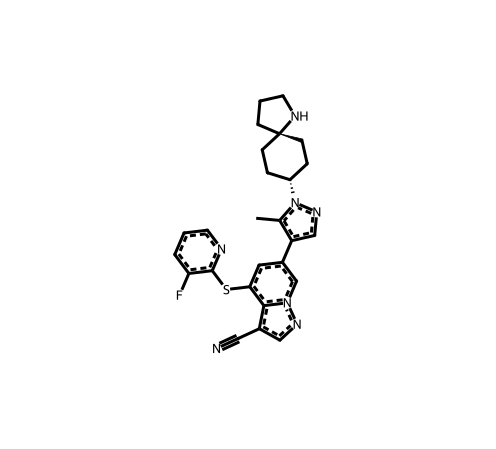 Cc1c(-c2cc(Sc3ncccc3F)c3c(C#N)cnn3c2)cnn1[C@H]1CC[C@]2(CCCN2)CC1